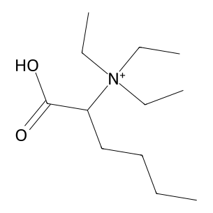 CCCCC(C(=O)O)[N+](CC)(CC)CC